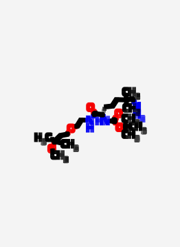 COC(C)(C)CCOCCNC(=O)[C@H](CCCC(C)(C)CN)NC(=O)OC(C)(C)C